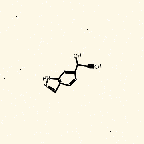 C#CC(O)c1ccc2cn[nH]c2c1